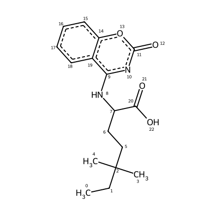 CCC(C)(C)CCC(Nc1nc(=O)oc2ccccc12)C(=O)O